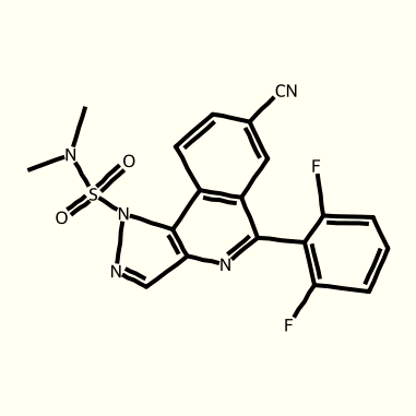 CN(C)S(=O)(=O)n1ncc2nc(-c3c(F)cccc3F)c3cc(C#N)ccc3c21